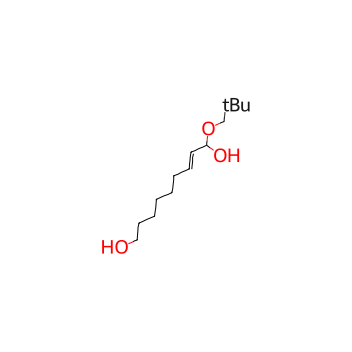 CC(C)(C)COC(O)C=CCCCCCCO